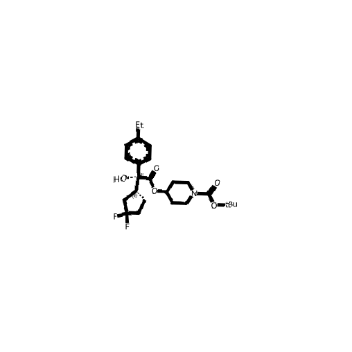 CCc1ccc([C@@](O)(C(=O)OC2CCN(C(=O)OC(C)(C)C)CC2)[C@@H]2CCC(F)(F)C2)cc1